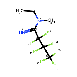 CCN(C)C(=N)C(F)(F)C(F)(F)C(F)(F)F